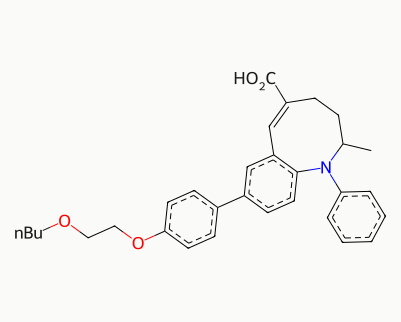 CCCCOCCOc1ccc(-c2ccc3c(c2)C=C(C(=O)O)CCC(C)N3c2ccccc2)cc1